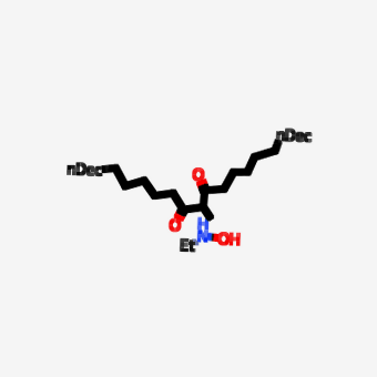 CCCCCCCCCCCCCCCC(=O)C(C)C(=O)CCCCCCCCCCCCCCC.CCNO